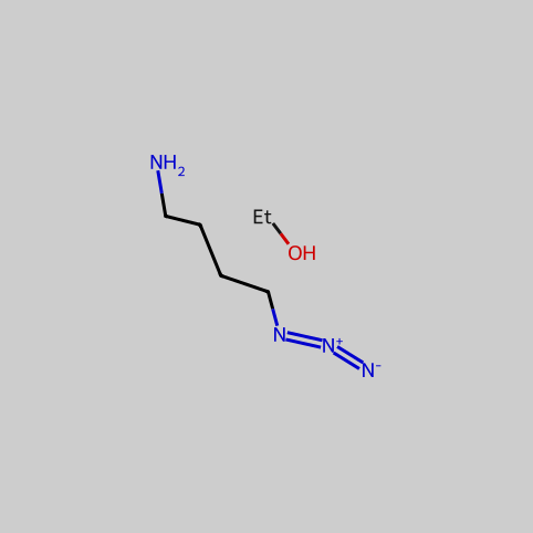 CCO.[N-]=[N+]=NCCCCN